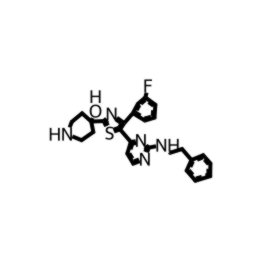 OC1(c2nc(-c3cccc(F)c3)c(-c3ccnc(NCCc4ccccc4)n3)s2)CCNCC1